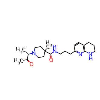 CC(=O)C(C)N1CCC(C)(C(=O)NCCCc2ccc3c(n2)NCCC3)CC1